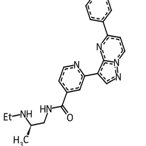 CCN[C@H](C)CNC(=O)c1ccnc(-c2cnn3ccc(-c4ccccc4)nc23)c1